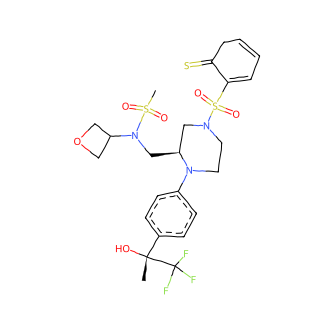 C[C@@](O)(c1ccc(N2CCN(S(=O)(=O)C3=CC=CCC3=S)C[C@@H]2CN(C2COC2)S(C)(=O)=O)cc1)C(F)(F)F